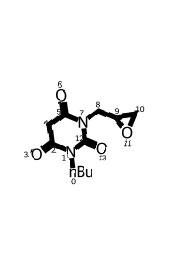 CCCCN1C(=O)CC(=O)N(CC2CO2)C1=O